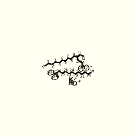 CCCCCCCCCCC(CC)CCC(=O)[O-].CCCCCCCCCCCC(=O)[O-].[K+].[Rb+]